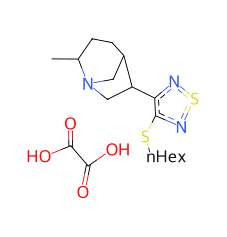 CCCCCCSc1nsnc1C1CN2CC1CCC2C.O=C(O)C(=O)O